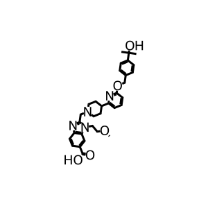 COCCn1c(CN2CCC(c3cccc(OCc4ccc(C(C)(C)O)cc4)n3)CC2)nc2ccc(C(=O)O)cc21